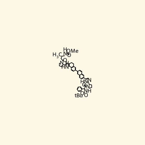 COC(=O)NCC(C)CC(=O)N1CCCC1c1nc2c([nH]1)-c1ccc(-c3ccc4cc(-c5cnc(C6CCCN6C(=O)C(NC(=O)OC(C)(C)C)c6ccccc6)[nH]5)ccc4c3)cc1CC2